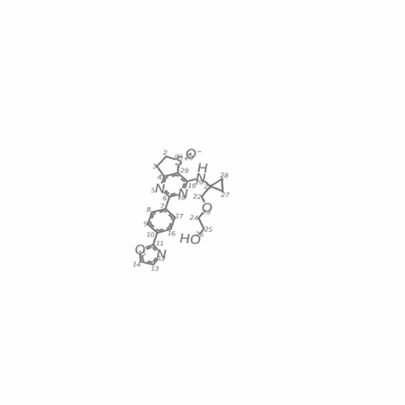 [O-][S@+]1CCc2nc(-c3ccc(-c4ncco4)cc3)nc(NC3(COCCO)CC3)c21